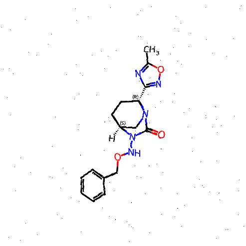 Cc1nc([C@H]2CC[C@H]3CN2C(=O)N3NOCc2ccccc2)no1